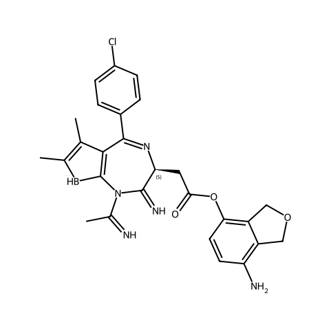 CC(=N)N1C(=N)[C@H](CC(=O)Oc2ccc(N)c3c2COC3)N=C(c2ccc(Cl)cc2)C2=C1BC(C)=C2C